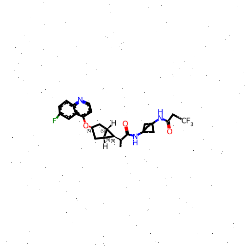 CC(C(=O)NC12CC(NC(=O)CC(F)(F)F)(C1)C2)[C@H]1[C@@H]2C[C@@H](Oc3ccnc4ccc(F)cc34)C[C@@H]21